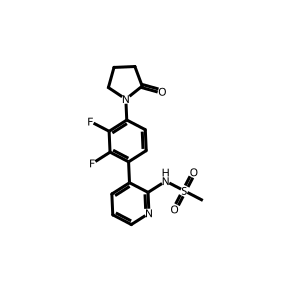 CS(=O)(=O)Nc1ncccc1-c1ccc(N2CCCC2=O)c(F)c1F